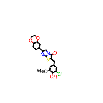 COc1cc(/C=c2\sc3nc(-c4ccc5c(c4)OCCO5)cn3c2=O)cc(Cl)c1O